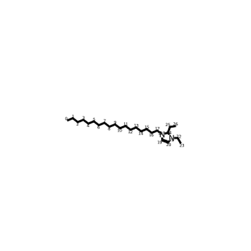 CCCCCCCCCCCCCCCCCCN1C=CN(CC)C1CC